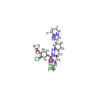 Cc1cccn2cc(-c3ccc(C[C@@H](CNCC(F)(F)F)NC(=O)c4ccc(OC(C)C)c(Cl)c4)cc3)nc12